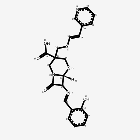 O=C1C(N=Cc2ccccc2O)[C@H]2SCC(CSC=Cc3cccnc3)(C(=O)O)CN12